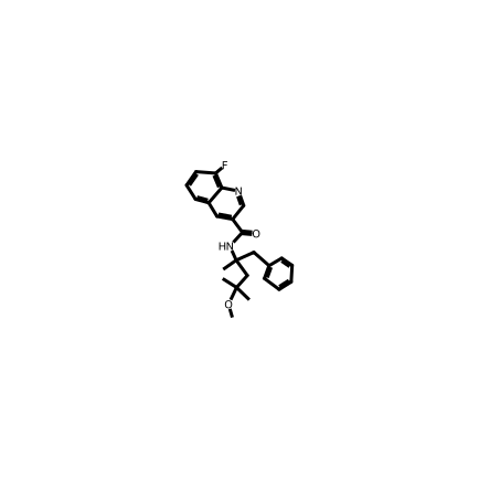 COC(C)(C)CC(C)(Cc1ccccc1)NC(=O)c1cnc2c(F)cccc2c1